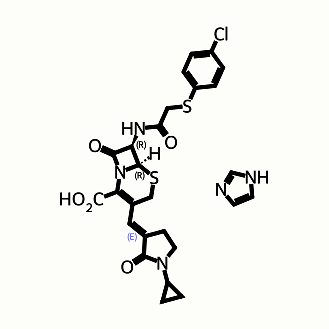 O=C(CSc1ccc(Cl)cc1)N[C@@H]1C(=O)N2C(C(=O)O)=C(/C=C3\CCN(C4CC4)C3=O)CS[C@H]12.c1c[nH]cn1